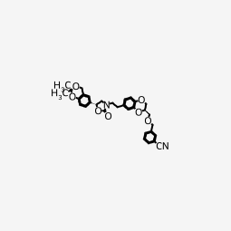 CC1(C)OCc2cc([C@@H]3CN(CCc4ccc5c(c4)O[C@H](COCc4cccc(C#N)c4)CO5)C(=O)O3)ccc2O1